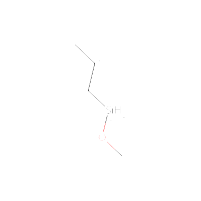 [CH2]O[SiH2]CCC